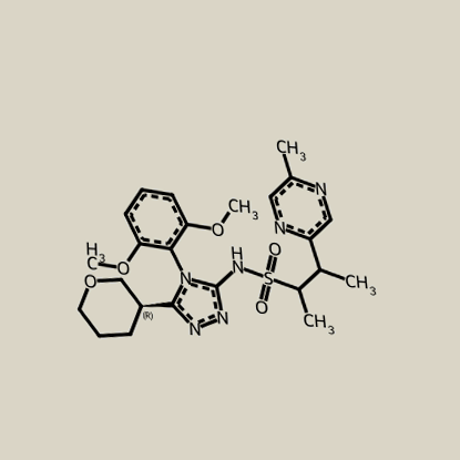 COc1cccc(OC)c1-n1c(NS(=O)(=O)C(C)C(C)c2cnc(C)cn2)nnc1[C@H]1CCCOC1